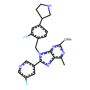 COc1nc(C)c2nc(-c3cncc(F)c3)n(Cc3ccc(C4CCNC4)cc3F)c2n1